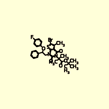 Cc1c(Br)sc2c1c(=O)n(C(C)(C)C(=O)OC(C)(C)C)c(=O)n2CC(Oc1ccc(F)cc1)c1ccccc1